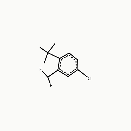 CC(C)(C)c1ccc(Cl)cc1C(F)F